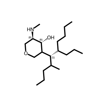 CCCCC(CCC)[C@H](C(C)CCC)C1COC[C@@H](NC)[C@@H]1O